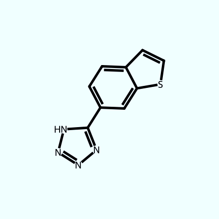 c1cc2ccc(-c3nnn[nH]3)cc2s1